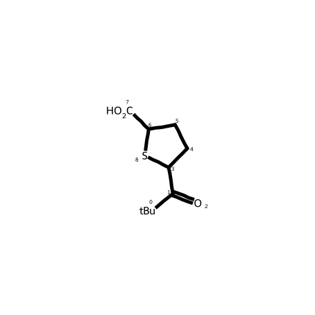 CC(C)(C)C(=O)C1CCC(C(=O)O)S1